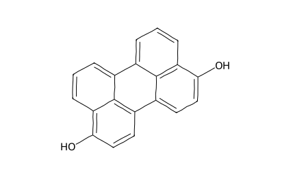 Oc1ccc2c3ccc(O)c4cccc(c5cccc1c52)c43